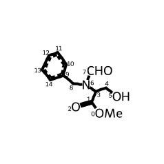 COC(=O)C(CO)N(C=O)Cc1ccccc1